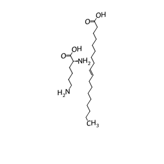 CCCCCCCCC=CCCCCCCCC(=O)O.NCCCC[C@H](N)C(=O)O